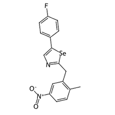 Cc1ccc([N+](=O)[O-])cc1Cc1ncc(-c2ccc(F)cc2)[se]1